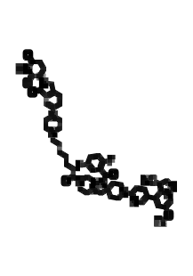 CCOc1cc(-c2ccc(N3CCC(CN4CCN(C(=O)CCCCCCN5CCN(c6ccc7c(c6)C(=O)N([C@@H]6CCC(=O)NC6=O)C7)CC5)CC4)(NC(=O)c4cc(F)ccc4F)CC3)nc2)c2c(C#N)cnn2c1